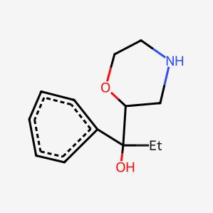 CCC(O)(c1ccccc1)C1CNCCO1